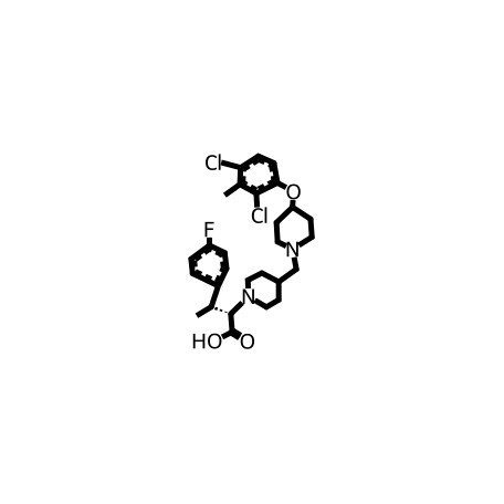 Cc1c(Cl)ccc(OC2CCN(CC3CCN([C@H](C(=O)O)C(C)c4ccc(F)cc4)CC3)CC2)c1Cl